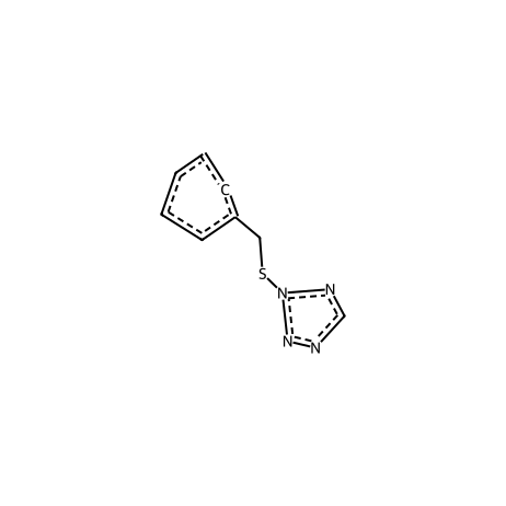 c1ccc(CSn2ncnn2)cc1